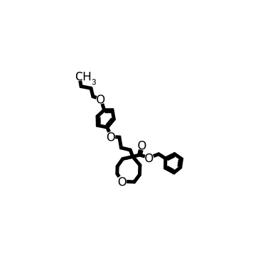 CCCCOc1ccc(OCCCC2(C(=O)OCc3ccccc3)CCCOCCC2)cc1